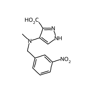 CN(Cc1cccc([N+](=O)[O-])c1)c1c[nH]nc1C(=O)O